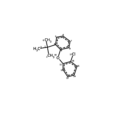 CC(C)(C)c1ccccc1Oc1ccccc1Cl